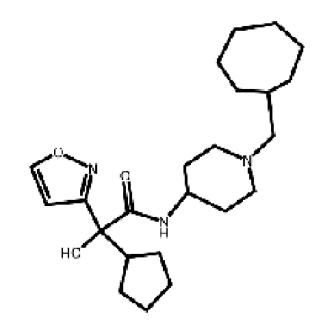 O=C(NC1CCN(CC2CCCCCC2)CC1)C(O)(c1ccon1)C1CCCC1